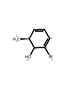 C[C@H]1C=CC=C(Br)C1O